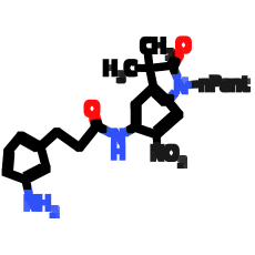 CCCCCN1C(=O)C(C)(C)c2cc(NC(=O)CCc3cccc(N)c3)c([N+](=O)[O-])cc21